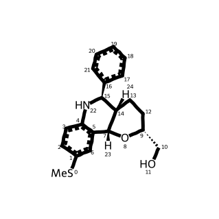 CSc1ccc2c(c1)[C@H]1O[C@@H](CO)CC[C@H]1[C@H](c1ccccc1)N2